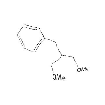 COC[C](COC)Cc1ccccc1